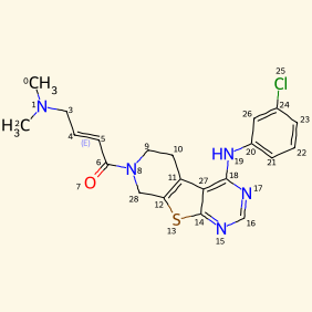 CN(C)C/C=C/C(=O)N1CCc2c(sc3ncnc(Nc4cccc(Cl)c4)c23)C1